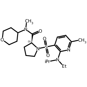 CCN(c1nc(C)ccc1S(=O)(=O)N1CCC[C@H]1C(=O)N(C)C1CCOCC1)C(C)C